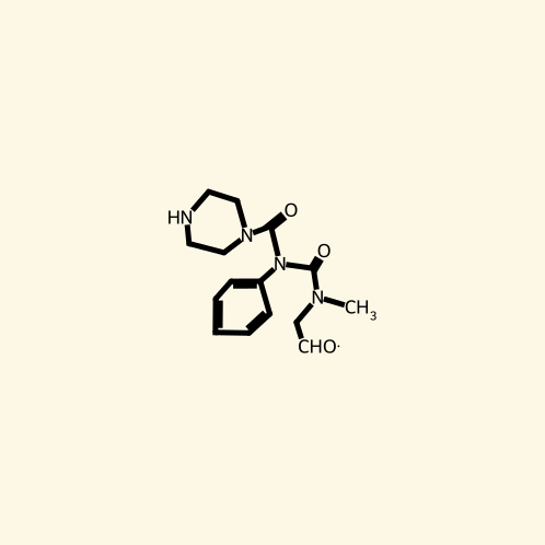 CN(C[C]=O)C(=O)N(C(=O)N1CCNCC1)c1ccccc1